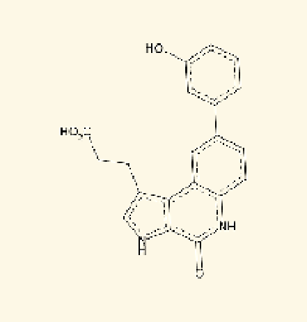 O=C(O)CCc1c[nH]c2c(=O)[nH]c3ccc(-c4cccc(O)c4)cc3c12